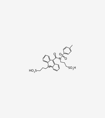 Cc1ccc(S(=O)(=O)N(CCCS(=O)(=O)O)C(=O)c2c3ccccc3[n+](CCCS(=O)(=O)O)c3ccccc23)cc1